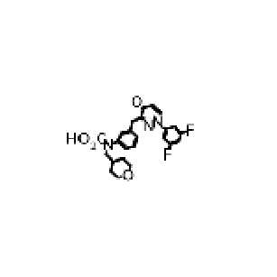 O=C(O)N(CC1CCOCC1)c1cccc(Cc2nn(-c3cc(F)cc(F)c3)ccc2=O)c1